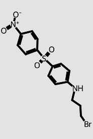 O=[N+]([O-])c1ccc(S(=O)(=O)c2ccc(NCCCBr)cc2)cc1